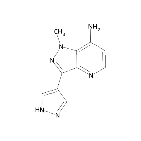 Cn1nc(-c2cn[nH]c2)c2nccc(N)c21